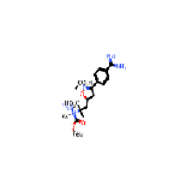 CC(=O)O.CCCCOC(=O)[N@+](N)(C(C)=O)[C@@](C)(CC1CC(c2ccc(C(=N)N)cc2)=NO1)C(=O)O